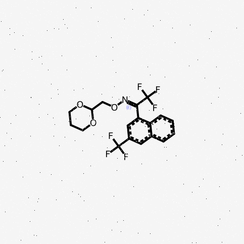 FC(F)(F)/C(=N/OCC1OCCCO1)c1cc(C(F)(F)F)cc2ccccc12